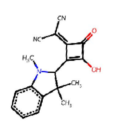 CN1c2ccccc2C(C)(C)C1C1=C(O)C(=O)C1=C(C#N)C#N